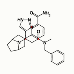 CN(Cc1ccccc1)C(=O)CC(c1c[nH]nn1)N1C2CCC1CC(c1cccc(C(N)=O)c1)C2